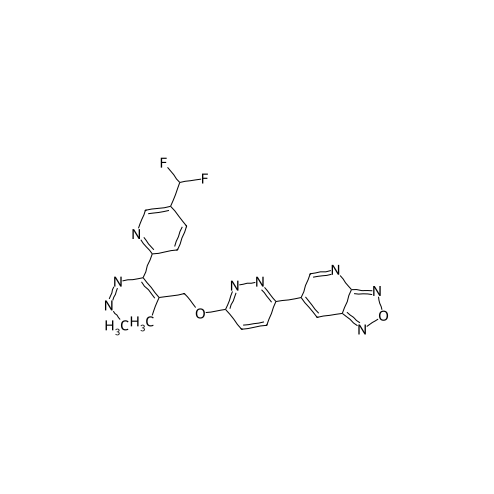 C/N=N\C(=C(/C)COc1ccc(-c2cnc3nonc3c2)nn1)c1ccc(C(F)F)cn1